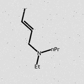 [CH2]C=CCN(CC)CCC